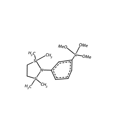 CO[Si](OC)(OC)c1cccc(N2[Si](C)(C)CC[Si]2(C)C)c1